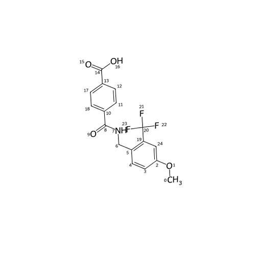 COc1ccc(CNC(=O)c2ccc(C(=O)O)cc2)c(C(F)(F)F)c1